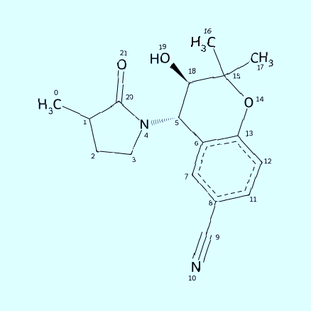 CC1CCN([C@H]2c3cc(C#N)ccc3OC(C)(C)[C@@H]2O)C1=O